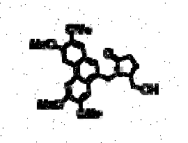 COc1cc2cc(CN3C(=O)CCC3CO)c3cc(OC)c(OC)cc3c2cc1OC